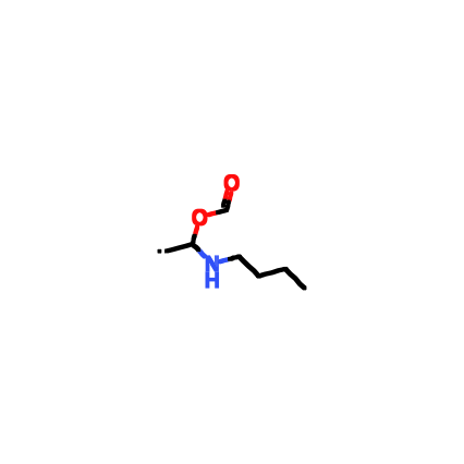 [CH2]C(NCCCC)OC=O